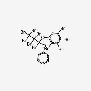 Brc1cc(OC(Br)(Oc2ccccc2)C(Br)(Br)C(Br)(Br)Br)c(Br)c(Br)c1Br